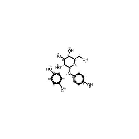 OC[C@H]1O[C@@H](Oc2ccc(O)cc2)[C@H](O)[C@@H](O)[C@@H]1O.Oc1ccc(O)cc1